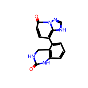 O=C1NCc2c(cccc2-c2ccc(=O)n3nc[nH]c23)N1